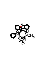 CN1C(=O)CC2(c3c[nH]c4ccccc34)c3ccccc3N(c3ccccc3)[C@@H]2N2CSC(=O)S[C@@H]1C2=O